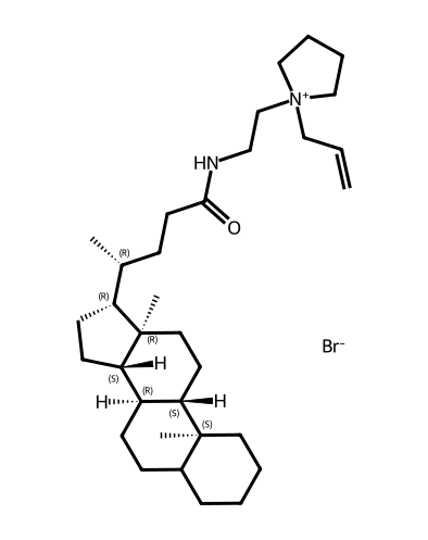 C=CC[N+]1(CCNC(=O)CC[C@@H](C)[C@H]2CC[C@H]3[C@@H]4CCC5CCCC[C@]5(C)[C@H]4CC[C@]23C)CCCC1.[Br-]